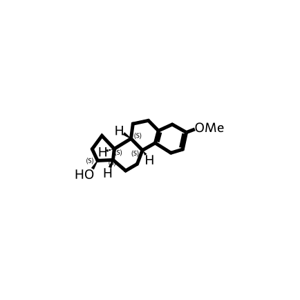 COC1=CCC2=C(CC[C@H]3[C@@H]4CC[C@H](O)[C@H]4CC[C@H]23)C1